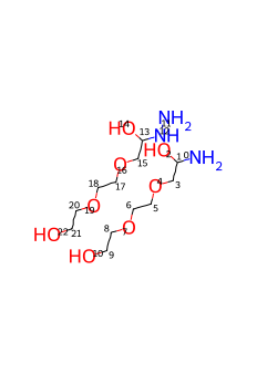 NC(O)COCCOCCO.NNC(O)COCCOCCO